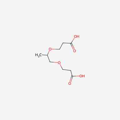 CC(COCCC(=O)O)OCCC(=O)O